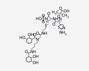 CC(C)(O/N=C(\C(=O)NC1C(=O)N(S(=O)(=O)O)[C@H]1CSCCNC(=O)CN(CCCCNC(=O)c1cccc(O)c1O)C(=O)c1cccc(O)c1O)c1cnc(N)s1)C(=O)O